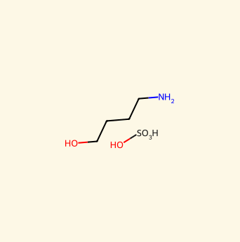 NCCCCO.O=S(=O)(O)O